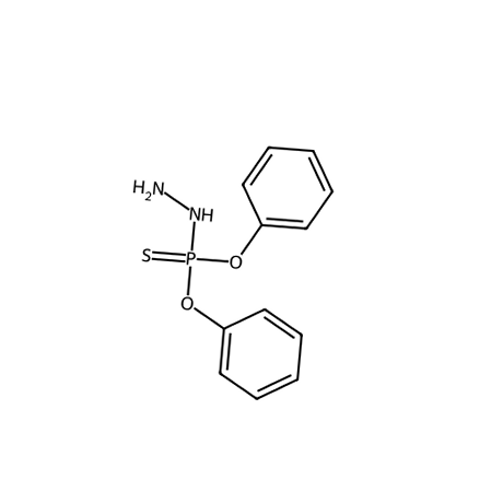 NNP(=S)(Oc1ccccc1)Oc1ccccc1